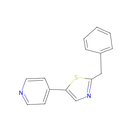 c1ccc(Cc2ncc(-c3ccncc3)s2)cc1